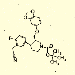 CC(C)(C)OC(=O)N1CC[C@@H](c2ccc(F)c(CC#N)c2)[C@@H](COc2ccc3c(c2)OCO3)C1